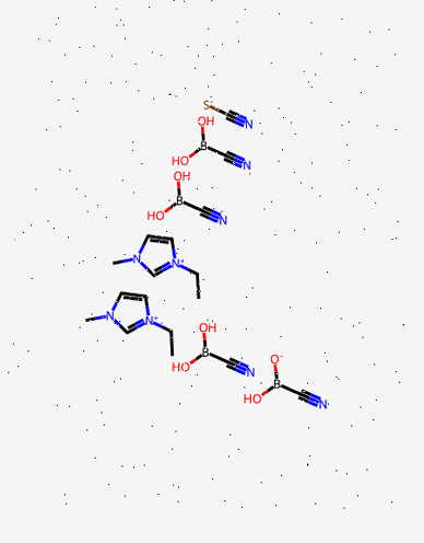 CC[n+]1ccn(C)c1.CC[n+]1ccn(C)c1.N#CB(O)O.N#CB(O)O.N#CB(O)O.N#CB([O-])O.N#C[S-]